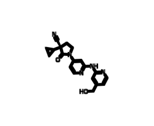 N#C[C@@]1(C2CC2)CCN(c2ccnc(Nc3cc(CO)ccn3)c2)C1=O